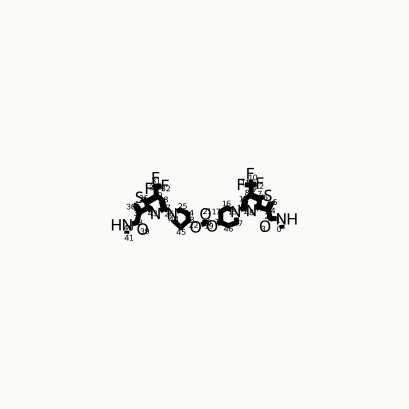 CNC(=O)c1csc2c(C(F)(F)F)cc(N3CCC(OC(=O)OC4CCN(c5cc(C(F)(F)F)c6scc(C(=O)NC)c6n5)CC4)CC3)nc12